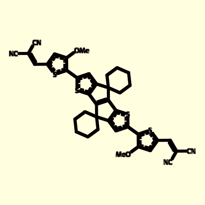 COc1cc(C=C(C#N)C#N)sc1-c1cc2c(s1)C1=C(c3sc(-c4sc(C=C(C#N)C#N)cc4OC)cc3C13CCCCC3)C21CCCCC1